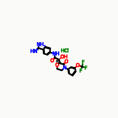 Cl.N=C(N)c1ccc(NC(=O)[C@H](O)[C@H]2OCCN(c3cccc(OC(F)(F)F)c3)C2=O)cc1